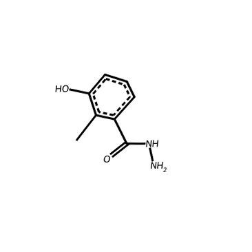 Cc1c(O)cccc1C(=O)NN